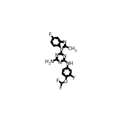 Cc1nc2cc(F)ccc2n1-c1nc(N)nc(Nc2ccc(OC(F)F)c(F)c2)n1